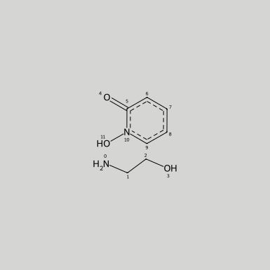 NCCO.O=c1ccccn1O